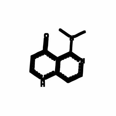 CN(C)c1nccc2[nH]ccc(=O)c12